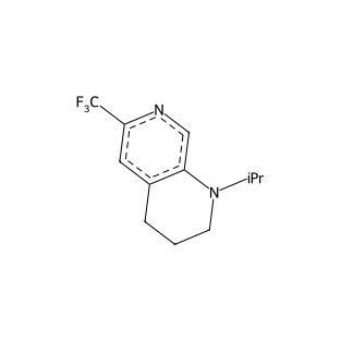 CC(C)N1CCCc2cc(C(F)(F)F)ncc21